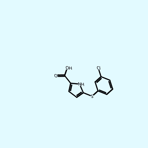 O=C(O)c1ccc(Sc2cccc(Cl)c2)[nH]1